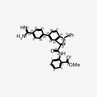 COC(=O)c1ccccc1NC(=O)c1nn(C(C)C)c2ccc(-c3ccc(C(=N)N)cc3)cc12